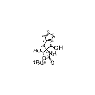 CC(C)(C)OC(=O)NC(CO)(CO)Cc1ccsc1